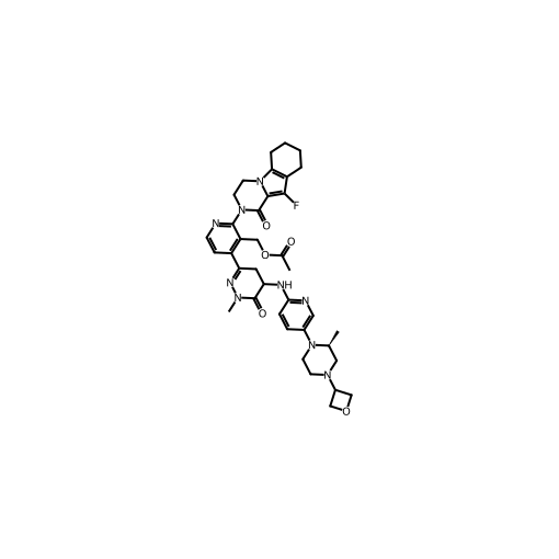 CC(=O)OCc1c(C2=NN(C)C(=O)C(Nc3ccc(N4CCN(C5COC5)C[C@@H]4C)cn3)C2)ccnc1N1CCn2c3c(c(F)c2C1=O)CCCC3